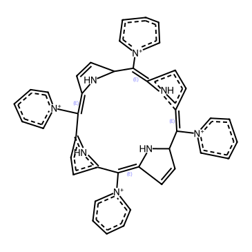 C1=CC2N/C1=C(/[n+]1ccccc1)c1ccc([nH]1)/C([n+]1ccccc1)=C1/C=CC(N1)/C([n+]1ccccc1)=c1/cc/c([nH]1)=C/2[n+]1ccccc1